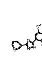 CSc1ccc(Cl)c(-c2nnc(-c3cccnc3)o2)c1